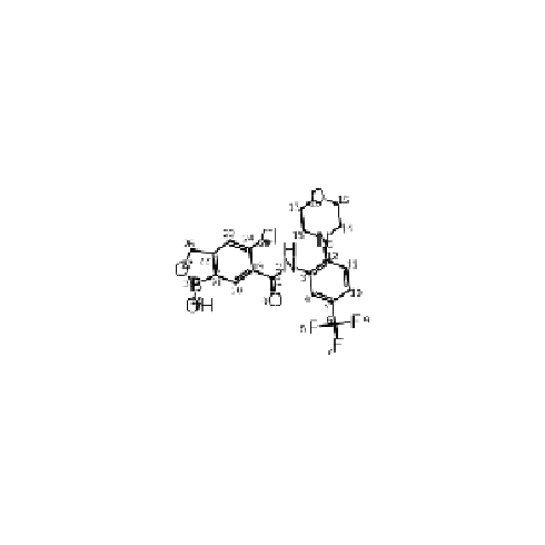 O=C(Nc1cc(C(F)(F)F)ccc1N1CCOCC1)c1cc2c(cc1Cl)COB2O